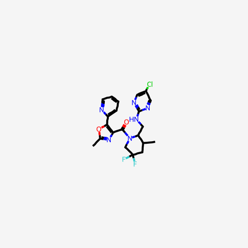 Cc1nc(C(=O)N2CC(F)(F)CC(C)C2CNc2ncc(Cl)cn2)c(-c2ccccn2)o1